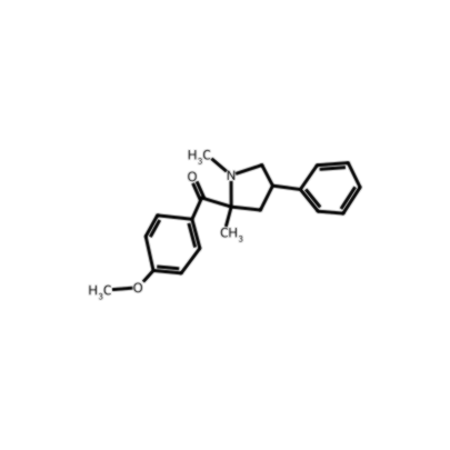 COc1ccc(C(=O)C2(C)CC(c3ccccc3)CN2C)cc1